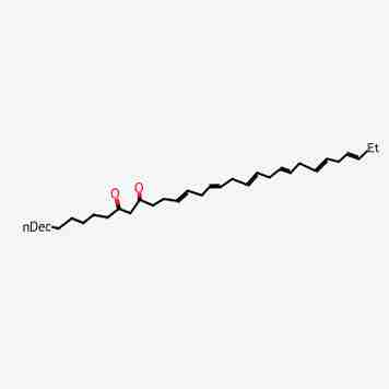 CC/C=C/C/C=C/C/C=C/C/C=C/C/C=C/C/C=C/CCC(=O)CC(=O)CCCCCCCCCCCCCCC